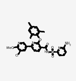 COc1ncc(-c2ccc(C(=O)NS(=O)(=O)c3cccc(N)n3)c(Oc3c(C)cc(C)cc3C)n2)cc1Cl